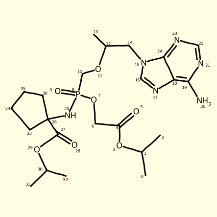 CC(C)OC(=O)COP(=O)(COC(C)Cn1cnc2c(N)ncnc21)NC1(C(=O)OC(C)C)CCCC1